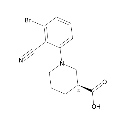 N#Cc1c(Br)cccc1N1CCC[C@H](C(=O)O)C1